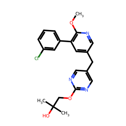 COc1ncc(Cc2cnc(OCC(C)(C)O)nc2)cc1-c1cccc(Cl)c1